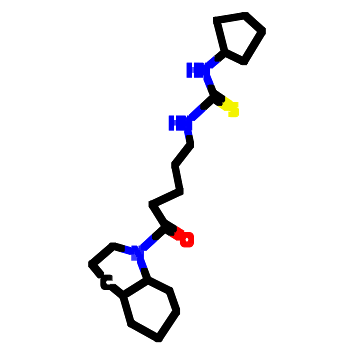 O=C(CCCCNC(=S)NC1CCCC1)N1CCCC2CCCCC21